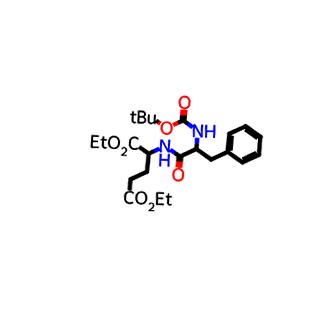 CCOC(=O)CCC(NC(=O)C(Cc1ccccc1)NC(=O)OC(C)(C)C)C(=O)OCC